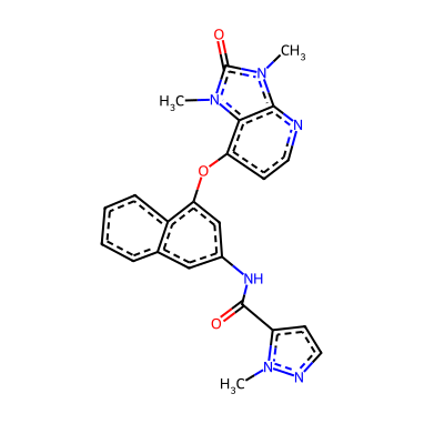 Cn1nccc1C(=O)Nc1cc(Oc2ccnc3c2n(C)c(=O)n3C)c2ccccc2c1